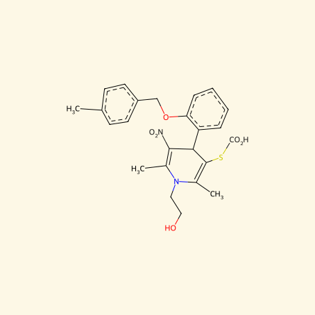 CC1=C(SC(=O)O)C(c2ccccc2OCc2ccc(C)cc2)C([N+](=O)[O-])=C(C)N1CCO